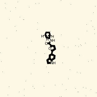 O=C(N[C@@H]1C[C@H]2CC[C@@H]1N2)c1ccc(-c2ccc3[nH]ccc3c2)o1